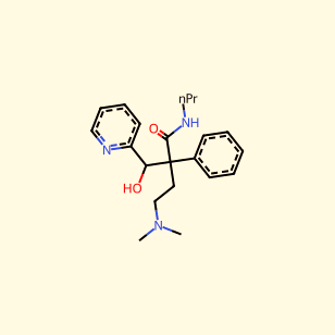 CCCNC(=O)C(CCN(C)C)(c1ccccc1)C(O)c1ccccn1